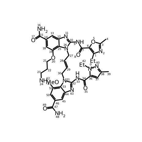 CCc1nc(C)oc1C(=O)Nc1nc2cc(C(N)=O)cc(OCCCN)c2n1C/C=C/Cn1c(NC(=O)c2cc(C)nn2CC)nc2cc(C(N)=O)cc(OC)c21